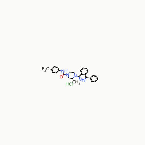 C[C@H]1CN(C(=O)Nc2ccc(C(F)(F)F)cc2)CCN1c1nnc(-c2ccccc2)c2ccccc12.Cl